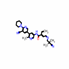 C=C/C(=C\C=N/CC(C)(C)C#N)C(=O)Nc1cnc(C)c(-c2cnc(N3CCCCC3)c(C#N)c2)c1